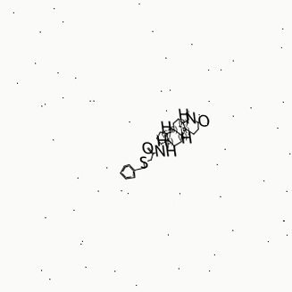 CN1C(=O)CC[C@]2(C)[C@H]3CC[C@]4(C)C(NC(=O)CSCc5ccccc5)CC[C@H]4[C@@H]3CC[C@@H]12